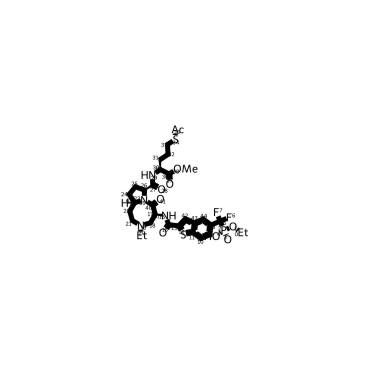 CCOP(=O)(O)C(F)(F)c1ccc2sc(C(=O)N[C@H]3CN(CC)CC[C@H]4CC[C@@H](C(=O)N[C@@H](CCCSC(C)=O)C(=O)OC)N4C3=O)cc2c1